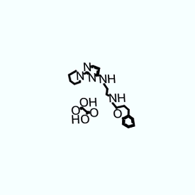 O=C(O)C(=O)O.c1ccc2c(c1)CCC(CNCCCNc1ccnc(N3CCCCC3)n1)O2